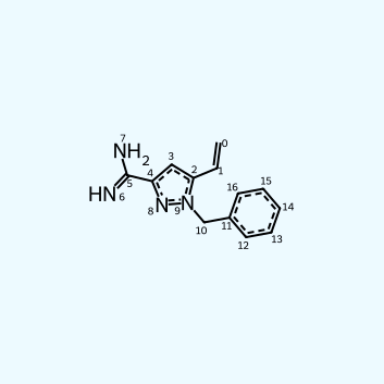 C=Cc1cc(C(=N)N)nn1Cc1ccccc1